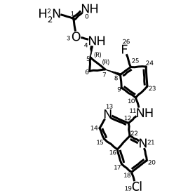 N=C(N)ON[C@@H]1C[C@@H]1c1cc(Nc2nccc3cc(Cl)cnc23)ccc1F